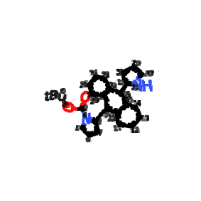 CC(C)(C)OC(=O)n1cccc1-c1c2ccccc2c(-c2ccc[nH]2)c2ccccc12